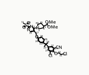 COC(OC)C1CCN(c2nc(S(C)(=O)=O)ncc2COc2ccc(C(C)(C)c3cc(Cl)c(OCCCl)c(C#N)c3)cc2)CC1